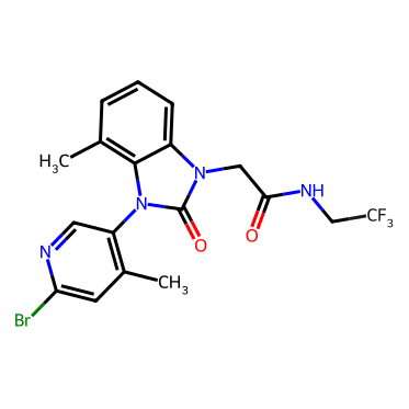 Cc1cc(Br)ncc1-n1c(=O)n(CC(=O)NCC(F)(F)F)c2cccc(C)c21